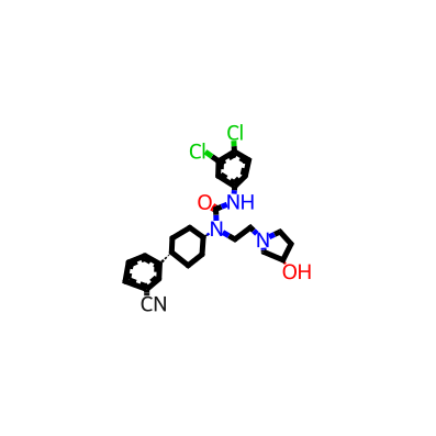 N#Cc1cccc([C@H]2CC[C@@H](N(CCN3CC[C@H](O)C3)C(=O)Nc3ccc(Cl)c(Cl)c3)CC2)c1